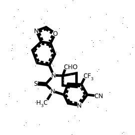 CN(C(=S)N(c1ccc2ncoc2c1)C1(C=O)CCC1)c1cnc(C#N)c(C(F)(F)F)c1